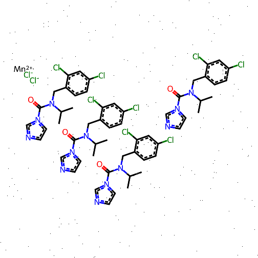 CC(C)N(Cc1ccc(Cl)cc1Cl)C(=O)n1ccnc1.CC(C)N(Cc1ccc(Cl)cc1Cl)C(=O)n1ccnc1.CC(C)N(Cc1ccc(Cl)cc1Cl)C(=O)n1ccnc1.CC(C)N(Cc1ccc(Cl)cc1Cl)C(=O)n1ccnc1.[Cl-].[Cl-].[Mn+2]